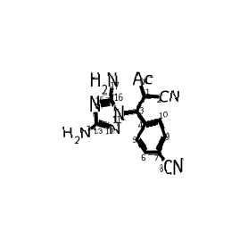 CC(=O)C(C#N)C(c1ccc(C#N)cc1)n1nc(N)nc1N